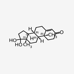 C[C@]12CCC(=O)C=C1CC[C@@H]1[C@H]2CC[C@@]2(C)[C@H]1CCC2(O)O